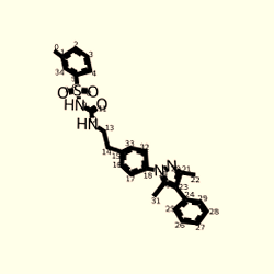 Cc1cccc(S(=O)(=O)NC(=O)NCCc2ccc(-n3nc(C)c(-c4ccccc4)c3C)cc2)c1